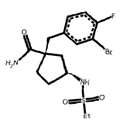 CCS(=O)(=O)N[C@H]1CC[C@](Cc2ccc(F)c(Br)c2)(C(N)=O)C1